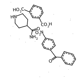 NC(=O)C1CCNCC1.O=C(O)c1cccc(C(=O)O)c1.O=C(c1ccccc1)c1ccc([N+](=O)[O-])cc1